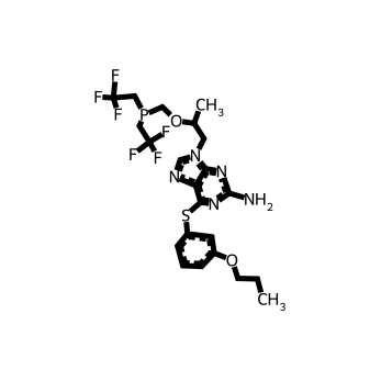 CCCOc1cccc(Sc2nc(N)nc3c2ncn3CC(C)OCP(CC(F)(F)F)CC(F)(F)F)c1